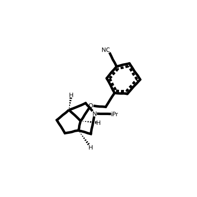 CC(C)N1C[C@H]2CC[C@@H](C1)[C@H]2OCc1cccc(C#N)c1